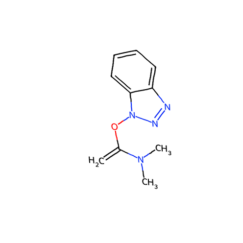 C=C(On1nnc2ccccc21)N(C)C